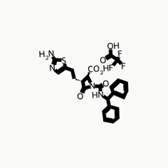 Nc1ncc(CC[C@H]2C(=O)N(C(=O)NC(c3ccccc3)c3ccccc3)[C@@H]2C(=O)O)s1.O=C(O)C(F)(F)F